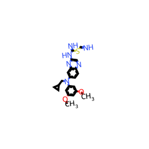 COc1cc(OC)cc(N(CC2CC2)c2ccc3ncc(NC(=N)SC=N)nc3c2)c1